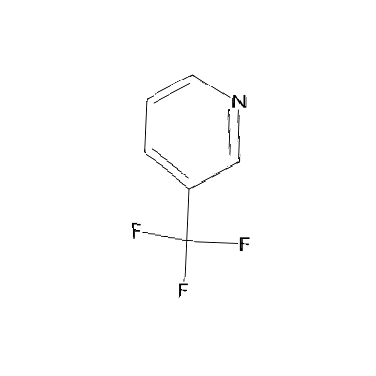 FC(F)(F)c1cccnc1